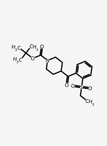 CCS(=O)(=O)c1ccccc1C(=O)C1CCN(C(=O)OC(C)(C)C)CC1